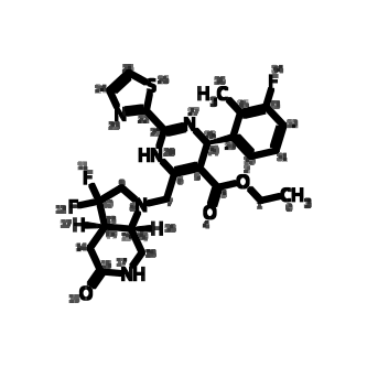 CCOC(=O)C1=C(CN2CC(F)(F)[C@H]3CC(=O)NC[C@H]32)NC(c2nccs2)=N[C@H]1c1cccc(F)c1C